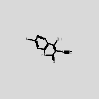 [C-]#[N+]c1c(O)c2ccc(F)cc2[nH]c1=O